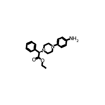 CCOC(=O)[C@@H](c1ccccc1)N1CCN(c2ccc(N)cc2)CC1